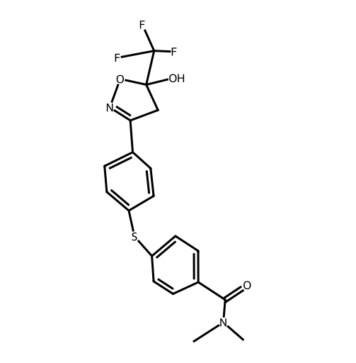 CN(C)C(=O)c1ccc(Sc2ccc(C3=NOC(O)(C(F)(F)F)C3)cc2)cc1